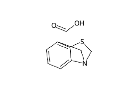 O=CO.c1cc2c3c(c1)N(CS3)C2